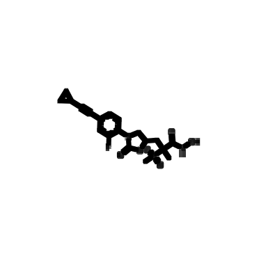 CC(CC1CN(c2ccc(C#CC3CC3)cc2F)C(=O)O1)(C(=O)NO)S(C)(=O)=O